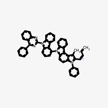 C=C/C=C\c1c(C)c2c3c4ccccc4n(-c4cccc5c4c4ccccc4n5-c4nc(-c5ccccc5)c5ccccc5n4)c3ccc2n1-c1ccccc1